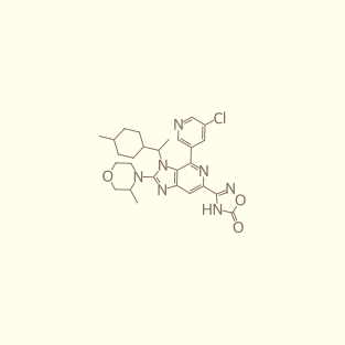 CC1CCC(C(C)n2c(N3CCOCC3C)nc3cc(-c4noc(=O)[nH]4)nc(-c4cncc(Cl)c4)c32)CC1